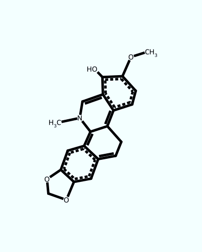 COc1ccc2c(c1O)=CN(C)C1=c3cc4c(cc3=CCC=21)OCO4